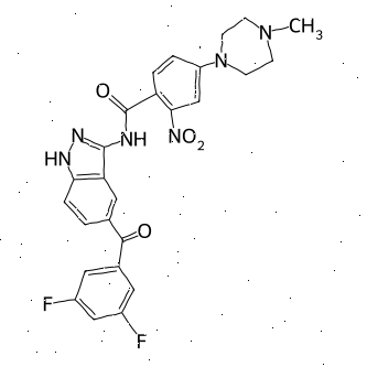 CN1CCN(c2ccc(C(=O)Nc3n[nH]c4ccc(C(=O)c5cc(F)cc(F)c5)cc34)c([N+](=O)[O-])c2)CC1